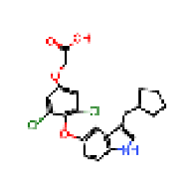 O=C(O)COc1cc(Cl)c(Oc2ccc3[nH]cc(CC4CCCC4)c3c2)c(Cl)c1